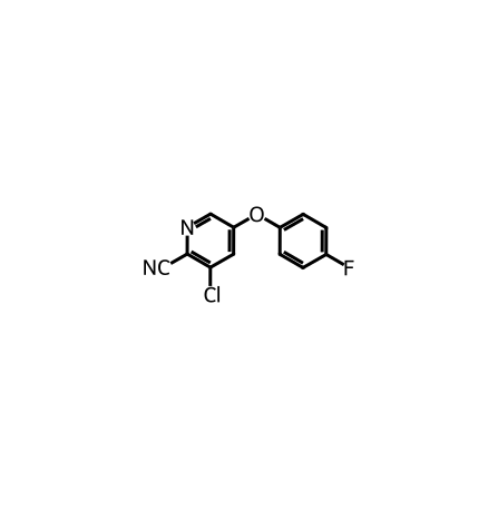 N#Cc1ncc(Oc2ccc(F)cc2)cc1Cl